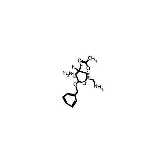 CC(=O)O[C@@H]1[C@@H](CN)OC(OCc2ccccc2)[C@H](N)C1(F)F